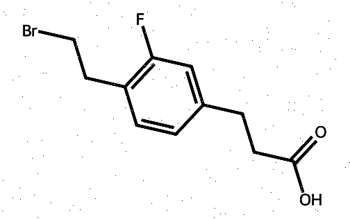 O=C(O)CCc1ccc(CCBr)c(F)c1